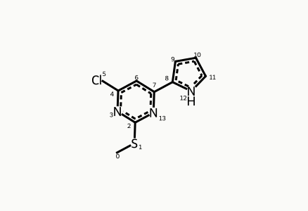 CSc1nc(Cl)cc(-c2ccc[nH]2)n1